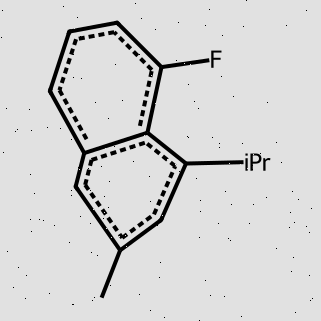 Cc1cc(C(C)C)c2c(F)cccc2c1